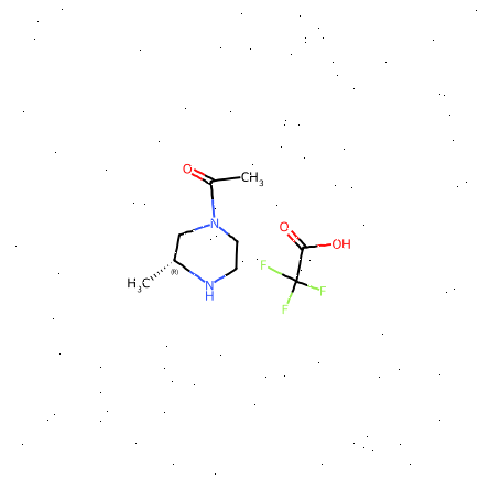 CC(=O)N1CCN[C@H](C)C1.O=C(O)C(F)(F)F